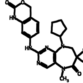 CN1C(=O)C(F)(F)CN(C2CCCC2)c2nc(Nc3ccc4c(c3)NC(=O)OC4)ncc21